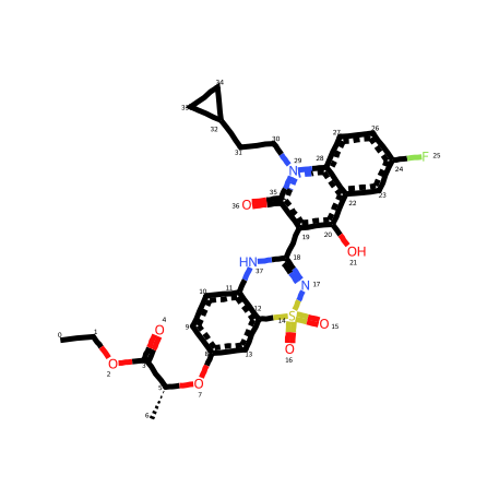 CCOC(=O)[C@@H](C)Oc1ccc2c(c1)S(=O)(=O)N=C(c1c(O)c3cc(F)ccc3n(CCC3CC3)c1=O)N2